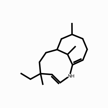 CCC1(C)/C=C/N/C2=C/CCC(C)CC(CC1)C2C